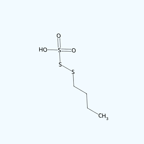 CCCCSSS(=O)(=O)O